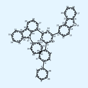 c1ccc(-c2ccc(-c3nc(-c4ccc5oc6ccccc6c5c4)nc(-c4cccc5c6ccccc6n(-c6ccccc6)c45)n3)cc2)cc1